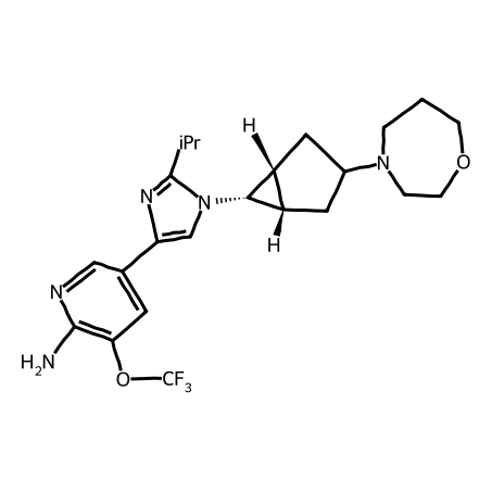 CC(C)c1nc(-c2cnc(N)c(OC(F)(F)F)c2)cn1[C@@H]1[C@@H]2CC(N3CCCOCC3)C[C@@H]21